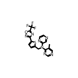 Cc1cncnc1N(Cc1ccc(-c2noc(C(F)(F)F)n2)s1)c1cnccn1